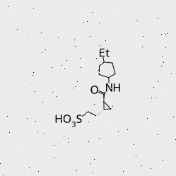 CCC1CCC(NC(=O)[C@H]2C[C@@H]2CCS(=O)(=O)O)CC1